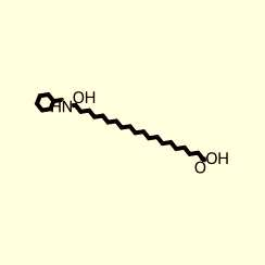 O=C(O)CCCCCCCCCCCCCCCCCC[C@@H](O)NCC1CCCCC1